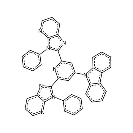 c1ccc(-n2c(-c3cc(-n4c5ccccc5c5ccccc54)cc(-c4nc5cccnc5n4-c4ccccc4)n3)nc3cccnc32)cc1